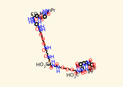 CCCNC(=O)Nc1cccc(S(=O)(=O)Nc2cccc([C@@H](CC(=O)O)NC(=O)Nc3ccc(NC(=O)NCCOCCOCCOCCNC(=O)CCCC(=O)NCCSCC(CC(=O)O)C(=O)NCC(=O)NCCOCCOCCOCCC(=O)N[C@@H](CC(=O)O)C(=O)N4CCC[C@H]4C(=O)N[C@H](C(=O)O[C@]4(CC)C(=O)OCc5c4cc4n(c5=O)Cc5cc6cc7c(cc6nc5-4)OCO7)C(C)C)cc3)c2)c1